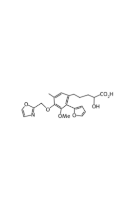 COc1c(OCc2ncco2)c(C)cc(CCCC(O)C(=O)O)c1-c1ccco1